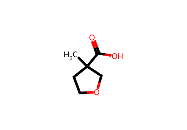 CC1(C(=O)O)CCOC1